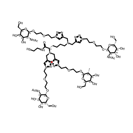 CC(=O)N[C@H]1[C@H](OCCOCCn2cc(CN(CCCC[C@@H](C(=O)NCCS)N(Cc3cn(CCOCCO[C@@H]4O[C@H](CO)[C@H](O)[C@H](O)[C@H]4C)nn3)Cc3cn(CCOCCO[C@@H]4O[C@H](CO)[C@H](O)[C@H](O)[C@H]4NC(C)=O)nn3)Cc3cn(CCOCCO[C@@H]4O[C@H](CO)[C@H](O)[C@H](O)[C@H]4NC(C)=O)nn3)nn2)O[C@H](CO)[C@H](O)[C@@H]1O